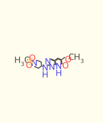 COCc1cc2cnc(NC3CCN(S(C)(=O)=O)CC3)nc2[nH]c1=O